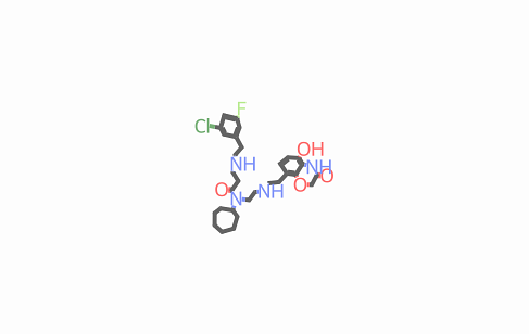 O=C1COc2c(CCNCCN(C(=O)CCNCCc3cc(F)cc(Cl)c3)C3CCCCCC3)ccc(O)c2N1